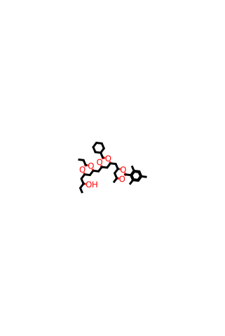 CCC(O)CC1CC(CC2CC(CC3CC(C)OC(c4c(C)cc(C)cc4C)O3)OC(C3CCCCC3)O2)OC(CC)O1